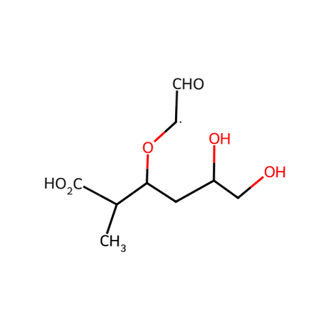 CC(C(=O)O)C(CC(O)CO)O[CH]C=O